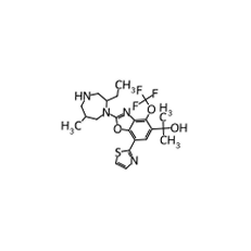 CCC1CNCC(C)CN1c1nc2c(OC(F)(F)F)c(C(C)(C)O)cc(-c3nccs3)c2o1